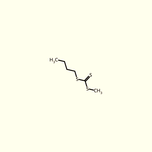 CCCCSC(=S)SC